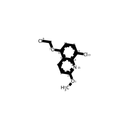 COc1ccc2c(OCCl)ccc(Cl)c2n1